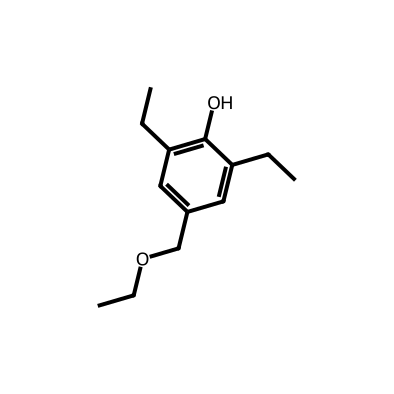 CCOCc1cc(CC)c(O)c(CC)c1